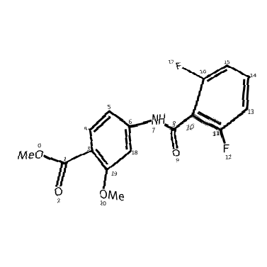 COC(=O)c1ccc(NC(=O)c2c(F)cccc2F)cc1OC